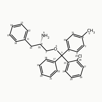 Cc1ccc(C(OC[C@@H](N)Cc2ccccc2)(c2ccccc2)c2ccccc2Cl)cc1